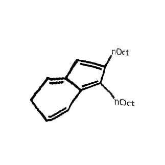 CCCCCCCCC1=CC2=CCC=CC2=C1CCCCCCCC